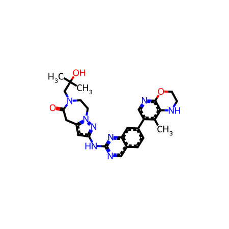 Cc1c(-c2ccc3cnc(Nc4cc5n(n4)CCN(CC(C)(C)O)C(=O)C5)nc3c2)cnc2c1NCCO2